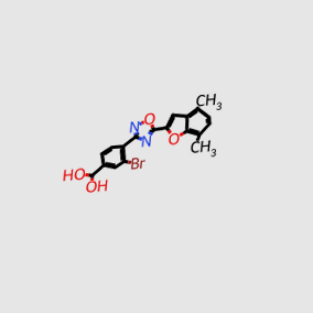 Cc1ccc(C)c2oc(-c3nc(-c4ccc(C(O)O)cc4Br)no3)cc12